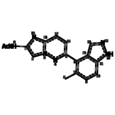 CC(=O)Nc1cn2nc(-c3c(C)ccc4[nH]ncc34)ccc2n1